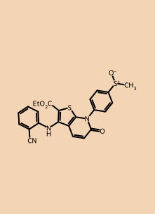 CCOC(=O)c1sc2c(ccc(=O)n2-c2ccc([S+](C)[O-])cc2)c1Nc1ccccc1C#N